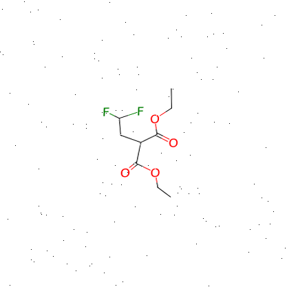 CCOC(=O)C(CC(F)F)C(=O)OCC